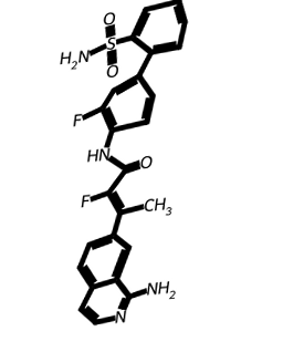 CC(=C(F)C(=O)Nc1ccc(-c2ccccc2S(N)(=O)=O)cc1F)c1ccc2ccnc(N)c2c1